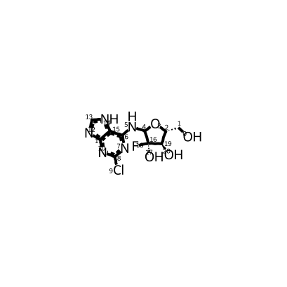 OC[C@H]1OC(Nc2nc(Cl)nc3nc[nH]c23)[C@](O)(F)[C@@H]1O